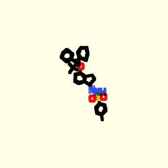 Cc1ccc(S(=O)(=O)NN=C2CCc3c(O[Si](c4ccccc4)(c4ccccc4)C(C)(C)C)cccc32)cc1